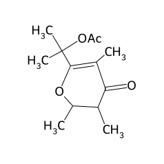 CC(=O)OC(C)(C)C1=C(C)C(=O)C(C)C(C)O1